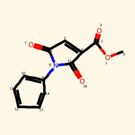 COC(=O)C1=CC(=O)N(c2ccccc2)C1=O